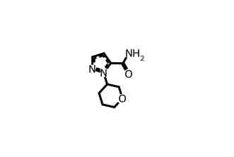 NC(=O)c1ccnn1C1CCCOC1